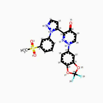 CS(=O)(=O)c1cccc(-n2nccc2-c2nn(-c3ccc4c(c3)OC(F)(F)O4)ccc2=O)c1